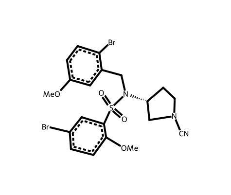 COc1ccc(Br)c(CN([C@@H]2CCN(C#N)C2)S(=O)(=O)c2cc(Br)ccc2OC)c1